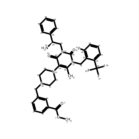 COC(=O)c1cccc(CN2CCN(c3c(C)n(Cc4c(F)cccc4C(F)(F)F)c(=O)n(C[C@@H](N)c4ccccc4)c3=O)CC2)c1